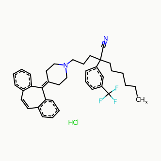 CCCCCCC(C#N)(CCCN1CCC(=C2c3ccccc3C=Cc3ccccc32)CC1)c1cccc(C(F)(F)F)c1.Cl